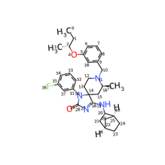 CC[C@@H](C)Oc1cccc(CN2CCC3(C[C@@H]2C)C(NC2C[C@@H]4CC[C@H]2C4)=NC(=O)N3c2cccc(F)c2)c1